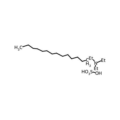 CCCCCCCCCCCCCC.CCN(CC)CC.O=S(=O)(O)O